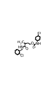 C=C(CCOC(=O)Nc1ccc(CC)cc1)C(=O)NCc1ccccc1Cl